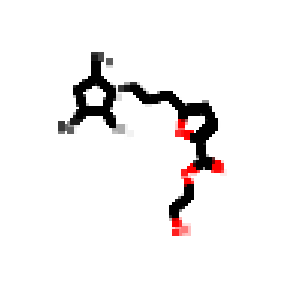 CC1CC(C#N)C(C)[C@H]1CCCc1ccc(C(=O)OCCO)o1